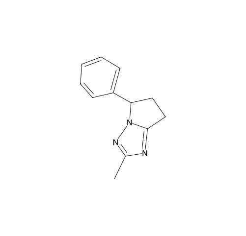 Cc1nc2n(n1)C(c1ccccc1)CC2